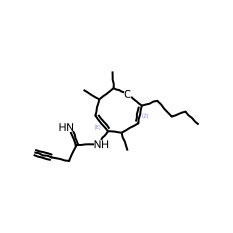 C#CCC(=N)N/C1=C/C(C)C(C)C/C(CCCC)=C\C1C